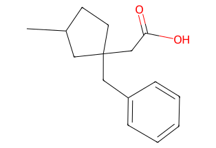 CC1CCC(CC(=O)O)(Cc2ccccc2)C1